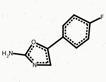 Nc1ncc(-c2ccc(F)cc2)o1